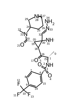 C[C@H](NS(=O)(=O)c1ccc(C(F)(F)F)cc1)C(=O)C1[C@H](C(=O)N(C)C2CCCNC2)C1([NH])C=NN